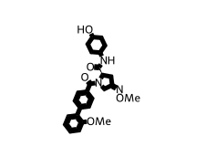 CON=C1C[C@@H](C(=O)NC2CCC(O)CC2)N(C(=O)c2ccc(-c3ccccc3OC)cc2)C1